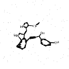 COc1cc[nH]c1C=C1CNc2cccc(C#CC(O)c3cccc(O)c3)c21